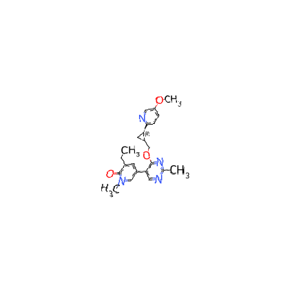 CCc1cc(-c2cnc(C)nc2OCC2C[C@H]2c2ccc(OC)cn2)cn(C)c1=O